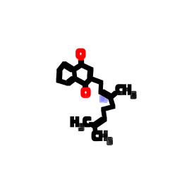 CC(C)=CCC/C(C)=C/CC1=CC(=O)c2ccccc2C1=O